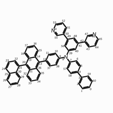 c1ccc(-c2ccc(N(c3ccc(-c4c5ccccc5c(-c5cccc6ccccc56)c5ccccc45)cc3)c3cc(-c4cccnc4)cc(-c4cccnc4)c3)cc2)cc1